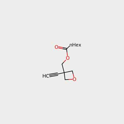 C#CC1(COC(=O)CCCCCC)COC1